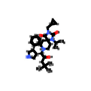 CC(C)N1C(=O)N(CC2CC2)C(=O)C12CCN(C(C(=O)CC(C)(C)C)[C@@H]1CNC[C@@H]1c1ccccc1)CC2